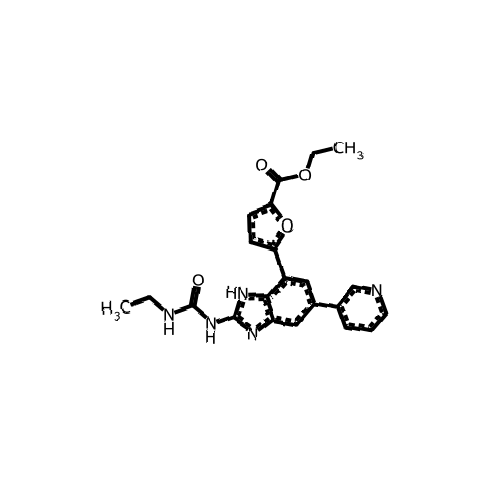 CCNC(=O)Nc1nc2cc(-c3cccnc3)cc(-c3ccc(C(=O)OCC)o3)c2[nH]1